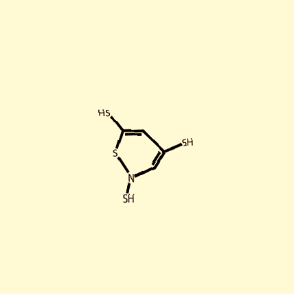 SC1=CN(S)SC(S)=C1